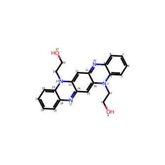 OCCN1c2ccccc2N=c2cc3c(cc21)=Nc1ccccc1N3CCO